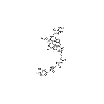 CC[C@H](C)C([C@@H](CC(=O)N1CCC[C@H]1[C@H](OC)[C@@H](C)C(=O)N[C@H](Cc1ccccc1)C(=O)NCCCOC(=O)[C@H](C)NC(=O)CCNC(=O)OCC(OC(CO)C(C)(C)C)OC(C)(C)C)OC)N(C)C(=O)CNC(=O)C(NC)C(C)C